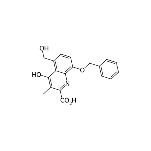 Cc1c(C(=O)O)nc2c(OCc3ccccc3)ccc(CO)c2c1O